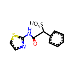 O=C(Nc1nccs1)C(c1ccccc1)S(=O)(=O)O